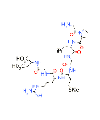 CSCC[C@H](NC(=O)CNC(=O)[C@H](CC(C)C)NC(=O)[C@@H]1CCCN1C(=O)CN)C(=O)N[C@@H](CCCNC(=N)N)C(=O)NCC(=O)N[C@@H](CC(=O)O)C(=O)O